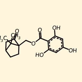 CC1(C)C2CCC1(COC(=O)c1c(O)cc(O)cc1O)C(=O)C2